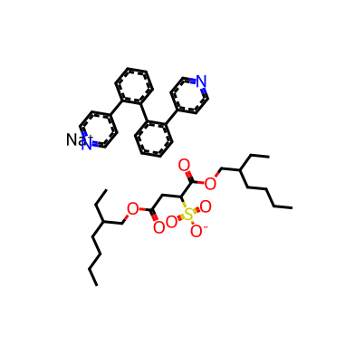 CCCCC(CC)COC(=O)CC(C(=O)OCC(CC)CCCC)S(=O)(=O)[O-].[Na+].c1ccc(-c2ccccc2-c2ccncc2)c(-c2ccncc2)c1